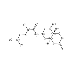 CCCN1C[C@@H](NC(=O)N(CC)CCN(C(C)C)C(C)C)C[C@@H]2CC(=O)CC[C@H]21